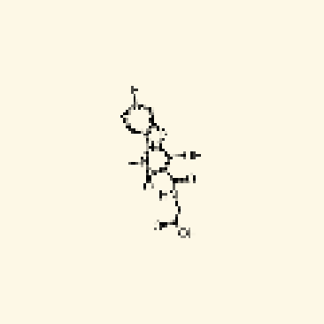 Cn1c(=O)c(C(=O)NCC(=O)O)c(O)c2nc3cc(F)ccc3n21